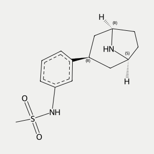 CS(=O)(=O)Nc1cccc([C@H]2C[C@H]3CC[C@@H](C2)N3)c1